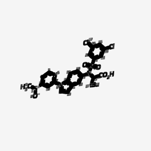 C[S+]([O-])c1ccnc(-n2ccc3cc(N(C(C(=O)O)C(C)(C)C)S(=O)(=O)c4cc(Cl)cc(Cl)c4)ccc32)c1